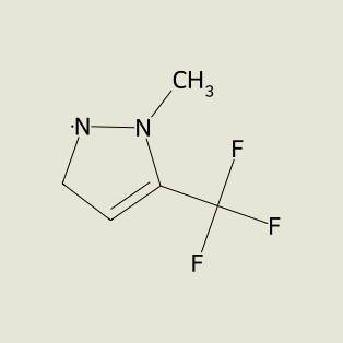 CN1[N]CC=C1C(F)(F)F